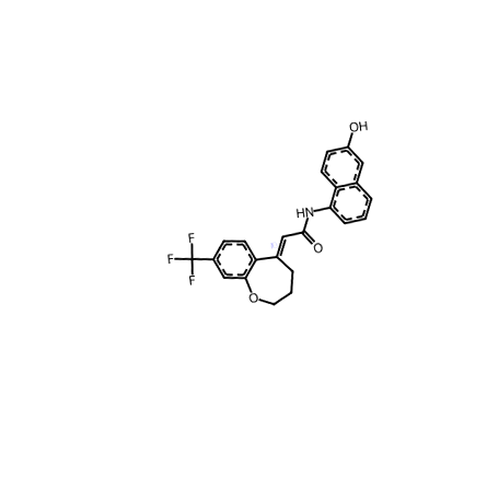 O=C(/C=C1\CCCOc2cc(C(F)(F)F)ccc21)Nc1cccc2cc(O)ccc12